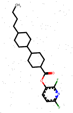 CCCCC1CCC(C2CCC(C(=O)Oc3ccc(F)nc3F)CC2)CC1